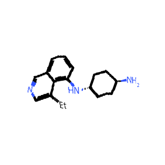 CCc1cncc2cccc(N[C@H]3CC[C@H](N)CC3)c12